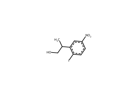 C[C](CO)c1cc([N+](=O)[O-])ccc1I